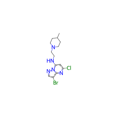 CC1CCN(CCNc2cc(Cl)nc3c(Br)cnn23)CC1